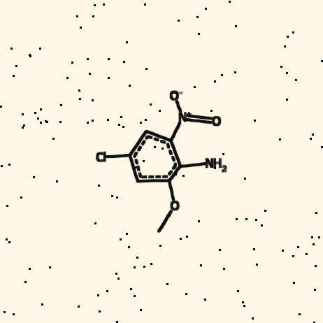 COc1cc(Cl)cc([N+](=O)[O-])c1N